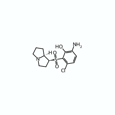 Nc1ccc(Cl)c(S(=O)(=O)[C@H]2CCN3CCC[C@@H]23)c1O